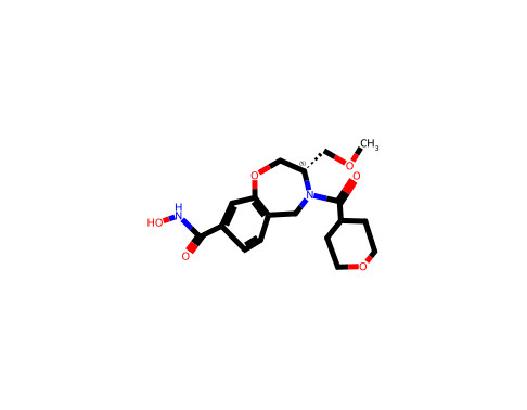 COC[C@H]1COc2cc(C(=O)NO)ccc2CN1C(=O)C1CCOCC1